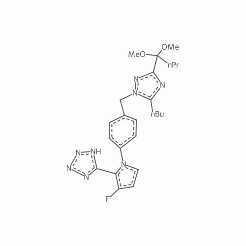 CCCCc1nc(C(CCC)(OC)OC)nn1Cc1ccc(-n2ccc(F)c2-c2nnn[nH]2)cc1